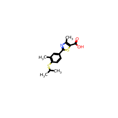 Cc1cc(-c2nc(C)c(C(=O)O)s2)ccc1SC(C)C